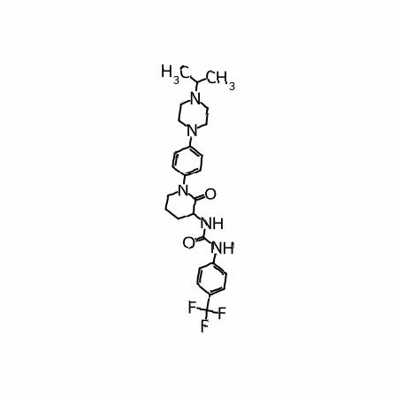 CC(C)N1CCN(c2ccc(N3CCCC(NC(=O)Nc4ccc(C(F)(F)F)cc4)C3=O)cc2)CC1